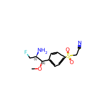 CO[C@H](c1ccc(S(=O)(=O)CC#N)cc1)[C@H](N)CF